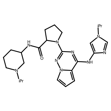 CC(C)N1CCCC(NC(=O)C2CCCN2c2nc(Nc3cn(C(C)C)cn3)c3cccn3n2)C1